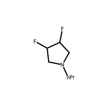 CCCN1CC(F)C(F)C1